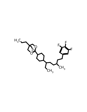 CCCC12COC(C3CCC(C(CC)CCC(C)CCc4cc(F)c(F)c(F)c4)CC3)(OC1)OC2